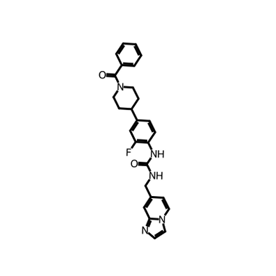 O=C(NCc1ccn2ccnc2c1)Nc1ccc(C2CCN(C(=O)c3ccccc3)CC2)cc1F